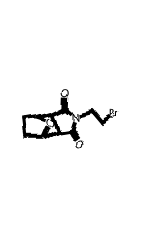 O=C1C2C3CCC(O3)C2C(=O)N1CCBr